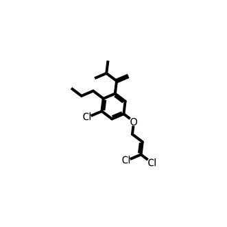 C=C(c1cc(OCC=C(Cl)Cl)cc(Cl)c1CCC)C(C)C